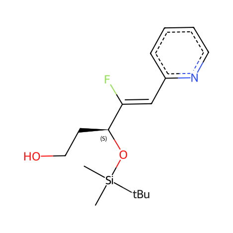 CC(C)(C)[Si](C)(C)O[C@@H](CCO)C(F)=Cc1ccccn1